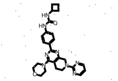 O=C(Nc1ccc(-c2nc3c(c(N4CCOCC4)n2)CCN(c2ncccn2)C3)cc1)NC1CCC1